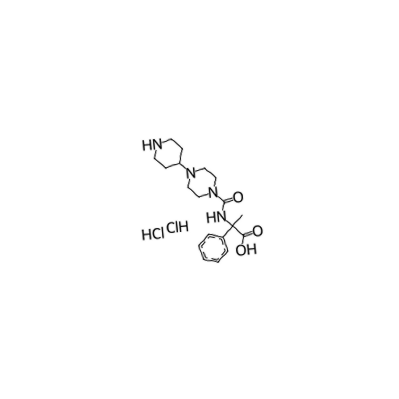 CC(NC(=O)N1CCN(C2CCNCC2)CC1)(C(=O)O)c1ccccc1.Cl.Cl